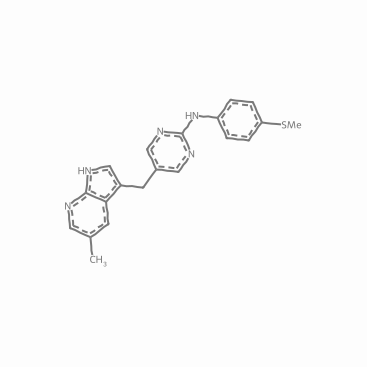 CSc1ccc(Nc2ncc(Cc3c[nH]c4ncc(C)cc34)cn2)cc1